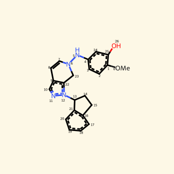 COc1ccc(NN2C=Cc3cnn(C4CCc5ccccc54)c3C2)cc1O